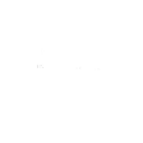 O=C(COc1ccc(NC(=O)c2ccccc2)cc1)CC1CC2CCCC(C2)C1